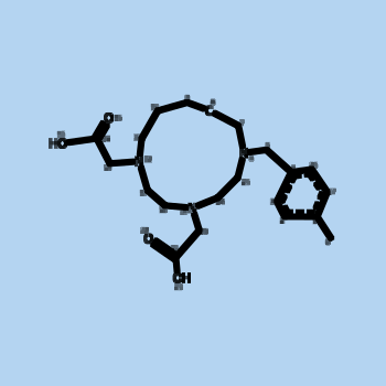 Cc1ccc(CN2CCCCCN(CC(=O)O)CCN(CC(=O)O)CC2)cc1